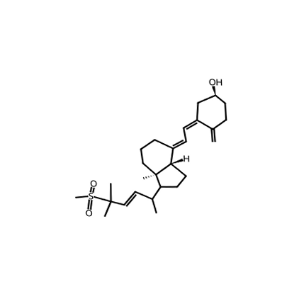 C=C1CC[C@H](O)C/C1=C/C=C1\CCC[C@]2(C)C(C(C)/C=C/C(C)(C)S(C)(=O)=O)CC[C@@H]12